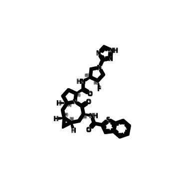 O=C(N[C@H]1C[C@@H]2C[C@@H]2C[C@H]2CC[C@@H](C(=O)N[C@H]3CN(c4nc[nH]n4)C[C@@H]3F)N2C1=O)c1cc2ccccc2s1